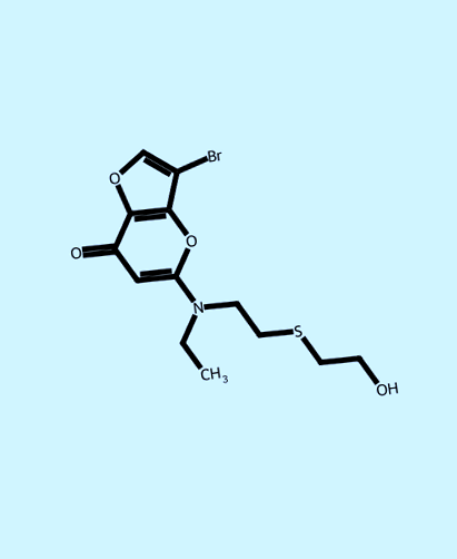 CCN(CCSCCO)c1cc(=O)c2occ(Br)c2o1